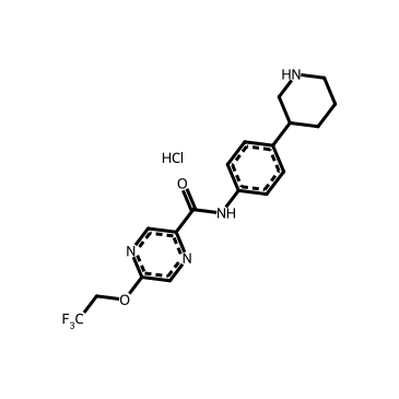 Cl.O=C(Nc1ccc(C2CCCNC2)cc1)c1cnc(OCC(F)(F)F)cn1